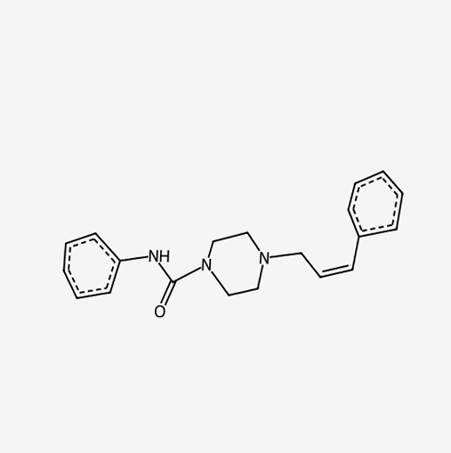 O=C(Nc1ccccc1)N1CCN(C/C=C\c2ccccc2)CC1